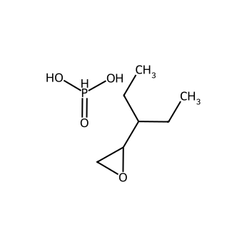 CCC(CC)C1CO1.O=[PH](O)O